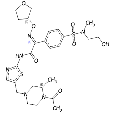 CC(=O)N1CCN(Cc2cnc(NC(=O)/C(=N/O[C@@H]3CCOC3)c3ccc(S(=O)(=O)N(C)CCO)cc3)s2)C[C@@H]1C